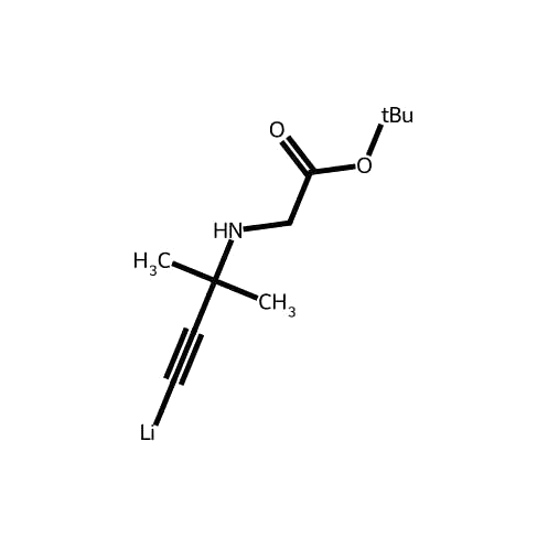 [Li][C]#CC(C)(C)NCC(=O)OC(C)(C)C